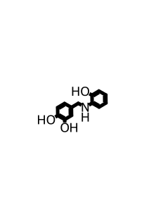 Oc1ccc(CNc2ccccc2O)cc1O